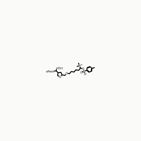 CCCCCCCCC(CCCCC)C1COC(COCCCCCC(OS(=O)(=O)c2ccc(C)cc2)[N+](C)(C)C)C1